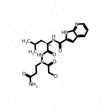 CC(C)C[C@@H](NC(=O)c1cc2cccnc2[nH]1)C(=O)NN(CCC(N)=O)C(=O)CCl